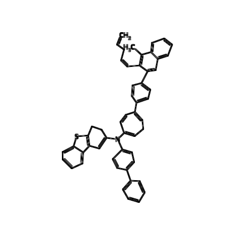 C=CC/C=C\c1c(-c2ccc(C3=CCC=C(N(C4=Cc5c(sc6ccccc56)CC4)c4ccc(-c5ccccc5)cc4)C=C3)cc2)cc2ccccc2c1C